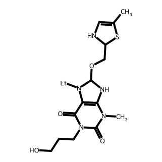 CCN1c2c(n(C)c(=O)n(CCCO)c2=O)NC1OCC1NC=C(C)S1